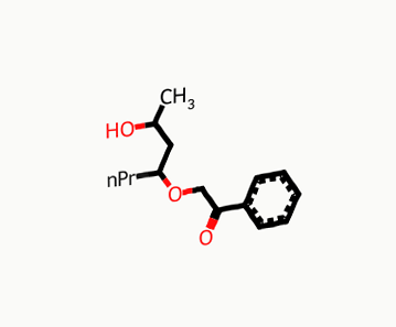 CCCC(CC(C)O)OCC(=O)c1ccccc1